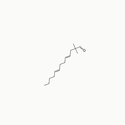 CCCC/C=C/CC/C=C/CC(C)(C)[C]=O